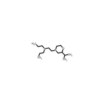 CCCN(CCC)CCN1CCOC(C(C)C)C1